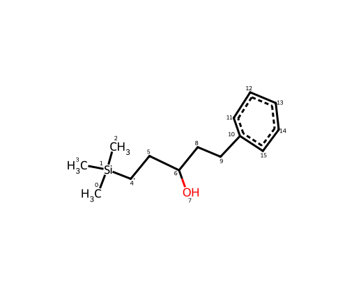 C[Si](C)(C)[CH]CC(O)CCc1ccccc1